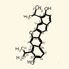 CC(C)c1c(O)ccc2cc3c(cc12)oc1cc2c(C(C)C)c(O)ccc2cc13